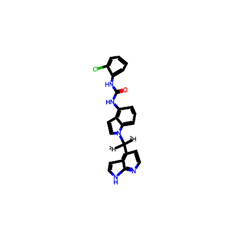 [2H]C([2H])(c1ccnc2[nH]ccc12)n1ccc2c(NC(=O)Nc3ccccc3Cl)cccc21